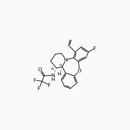 C=Cc1cc(F)cc2c1N1CCC[C@@H](NC(=O)C(F)(F)F)[C@@H]1c1ccccc1O2